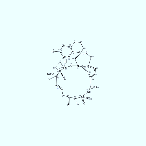 CO[C@@]1(C)/C=C/C[C@H](C)[C@@H](C)S(=O)(=O)NC(=O)c2ccc3c(c2)N(C[C@@H]2CC[C@H]21)C[C@@]1(CCCc2cc(Cl)ccc21)CO3